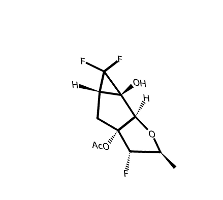 CC(=O)O[C@]12C[C@@H]3C(F)(F)[C@]3(O)[C@H]1O[C@@H](C)[C@@H]2F